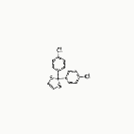 Clc1ccc(C2(c3ccc(Cl)cc3)SC=CS2)cc1